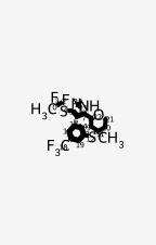 CC(F)(F)Sc1cc(C2CC(C)(Sc3cccc(C(F)(F)F)c3)CCO2)[nH]n1